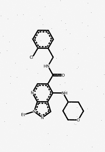 CCn1ncc2c(NC3CCOCC3)c(C(=O)NCc3ccccc3Cl)cnc21